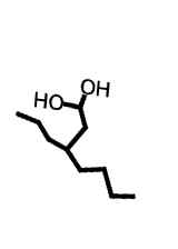 CCCCC(CCC)CC(O)O